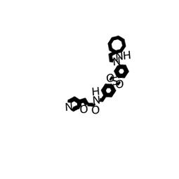 O=C(NCc1ccc(S(=O)(=O)c2cccc(N3CCC4(CCCCCCC4)N3)c2)cc1)c1cc2ccncc2o1